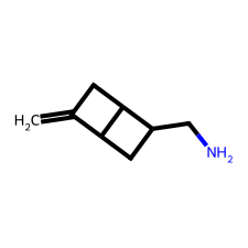 C=C1CC2C(CN)CC12